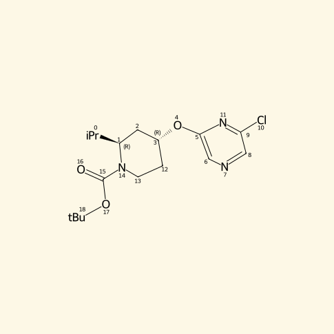 CC(C)[C@H]1C[C@H](Oc2cncc(Cl)n2)CCN1C(=O)OC(C)(C)C